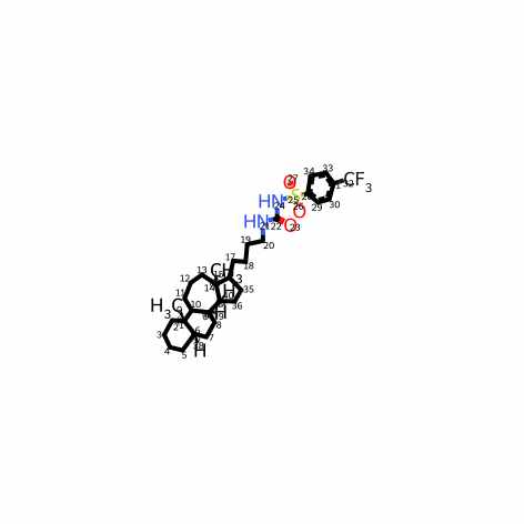 C[C@]12CCCC[C@H]1CC[C@@H]1C2CCC[C@]2(C)C(CCCCNC(=O)NS(=O)(=O)c3ccc(C(F)(F)F)cc3)CC[C@@H]12